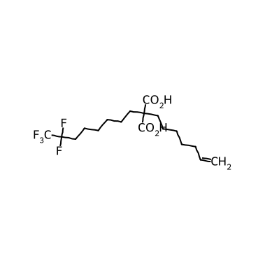 C=CCCCCCC(CCCCCCC(F)(F)C(F)(F)F)(C(=O)O)C(=O)O